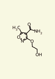 Cc1onc(OCCO)c1C(N)=O